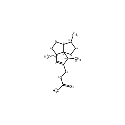 CC(=O)OCC1=C[C@@]2(C)CCC3C(C)CCC32[C@H]1C